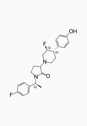 C[C@@H](c1ccc(F)cc1)N1CCC(N2CC[C@@H](c3ccc(O)cc3)[C@H](F)C2)C1=O